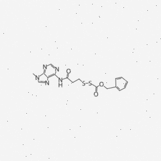 Cn1cnc2c(NC(=O)CCSSC(=O)OCc3ccccc3)ncnc21